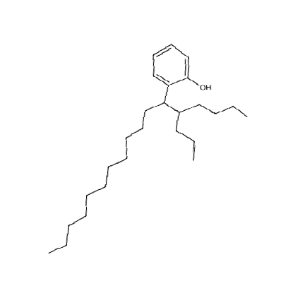 CCCCCCCCCCCC(c1ccccc1O)C(CCC)CCCC